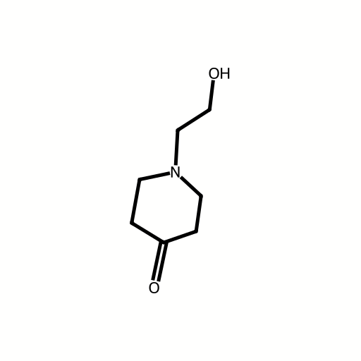 O=C1CCN(CCO)CC1